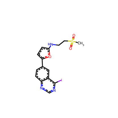 CS(=O)(=O)CCNc1ccc(-c2ccc3ncnc(I)c3c2)o1